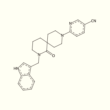 N#Cc1ccc(N2CCC3(CCCN(Cc4c[nH]c5ccccc45)C3=O)CC2)nc1